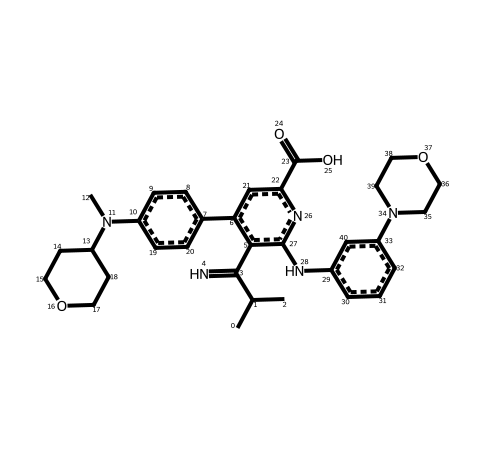 CC(C)C(=N)c1c(-c2ccc(N(C)C3CCOCC3)cc2)cc(C(=O)O)nc1Nc1cccc(N2CCOCC2)c1